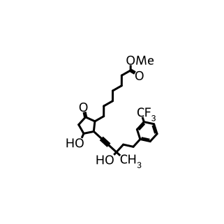 COC(=O)CCCCCCC1C(=O)CC(O)C1C#CC(C)(O)CCc1cccc(C(F)(F)F)c1